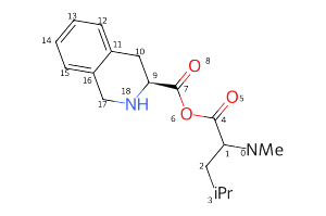 CNC(CC(C)C)C(=O)OC(=O)[C@@H]1Cc2ccccc2CN1